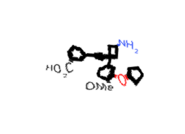 COc1ccc(C2(C#Cc3cccc(C(=O)O)c3)CC(N)C2)cc1OC1CCCC1